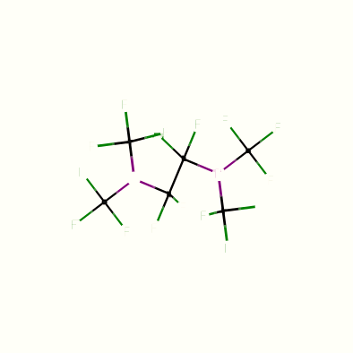 FC(F)(F)P(C(F)(F)F)C(F)(F)C(F)(F)P(C(F)(F)F)C(F)(F)F